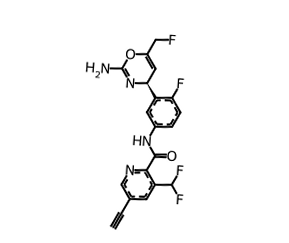 C#Cc1cnc(C(=O)Nc2ccc(F)c([C@@H]3C=C(CF)OC(N)=N3)c2)c(C(F)F)c1